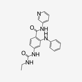 CCNC(=O)Nc1ccc(C(=O)Nc2cccnc2)c(Nc2ccccc2)c1